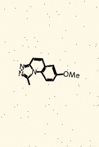 COc1ccc2c(ccc3nnc(C)n32)c1